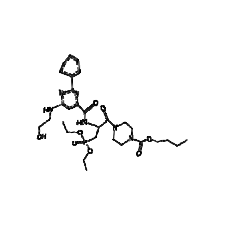 CCCCOC(=O)N1CCN(C(=O)C(CP(=O)(OCC)OCC)NC(=O)c2cc(NCCO)nc(-c3ccccc3)n2)CC1